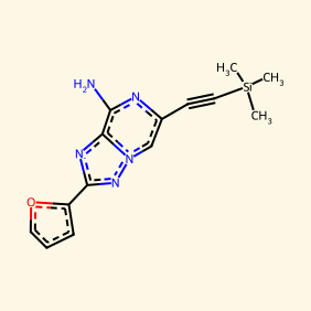 C[Si](C)(C)C#Cc1cn2nc(-c3ccco3)nc2c(N)n1